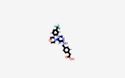 O=C(O)CC1CCC(CNc2ncnc(N3CCOC[C@@H]3c3ccc(C(F)(F)F)cc3)c2F)CC1